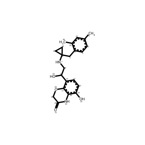 Cc1ccc(CC2(NCC(O)c3ccc(O)c4c3OCC(=O)N4)CC2)c(C)c1